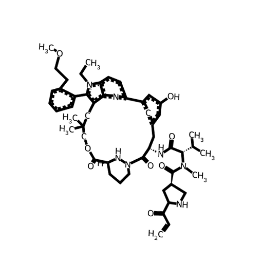 C=CC(=O)C1C[C@@H](C(=O)N(C)[C@H](C(=O)N[C@H]2Cc3cc(O)cc(c3)-c3ccc4c(n3)c(c(-c3ccccc3CCOC)n4CC)CC(C)(C)COC(=O)[C@@H]3CCCN(N3)C2=O)C(C)C)CN1